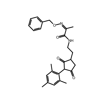 CC(=NOCc1ccccc1)C(=O)NCCC1CC(=O)C(c2c(C)cc(C)cc2C)C1=O